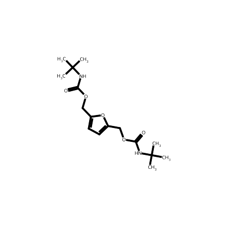 CC(C)(C)NC(=O)OCc1ccc(COC(=O)NC(C)(C)C)o1